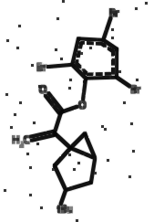 C=C(C(=O)Oc1c(Br)cc(Br)cc1Br)C12CC(C(C)(C)C)CC1C2